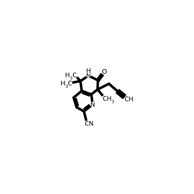 C#CCC1(C)C(=O)NC(C)(C)c2ccc(C#N)nc21